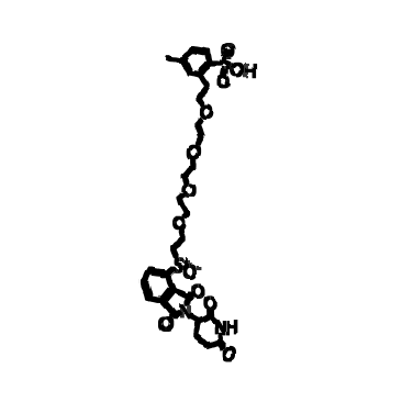 Cc1ccc(S(=O)(=O)O)c(CCOCCOCCOCCOCC[S+]([O-])c2cccc3c2C(=O)N(C2CCC(=O)NC2=O)C3=O)c1